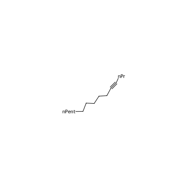 [CH2]CCC#CCCCCCCCCC[CH2]